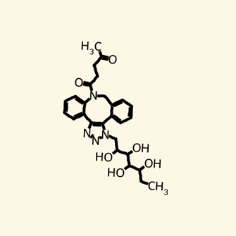 CCC(O)C(O)C(O)C(O)Cn1nnc2c1-c1ccccc1CN(C(=O)CCC(C)=O)c1ccccc1-2